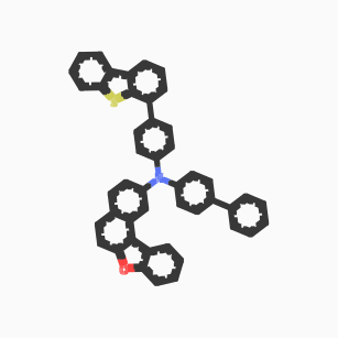 c1ccc(-c2ccc(N(c3ccc(-c4cccc5c4sc4ccccc45)cc3)c3ccc4ccc5oc6ccccc6c5c4c3)cc2)cc1